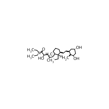 C=C1/C(=C\C=C2CCC[C@]3(C)[C@@H]([C@H](C)CC(O)C(=O)N(CC)CC)CC[C@@H]23)C[C@H](O)C[C@H]1O